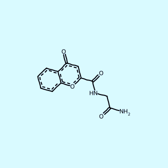 NC(=O)CNC(=O)c1cc(=O)c2ccccc2o1